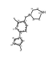 Cc1cn(-c2ccc(CN3CCNCC3)c(C)n2)cn1